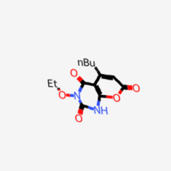 CCCCc1cc(=O)oc2[nH]c(=O)n(OCC)c(=O)c12